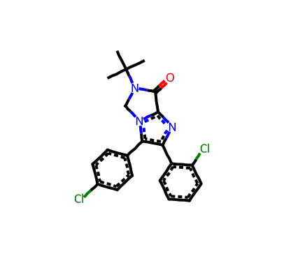 CC(C)(C)N1Cn2c(nc(-c3ccccc3Cl)c2-c2ccc(Cl)cc2)C1=O